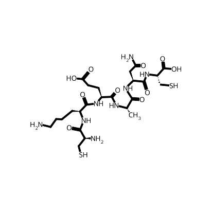 C[C@H](NC(=O)[C@H](CCC(=O)O)NC(=O)[C@H](CCCCN)NC(=O)[C@@H](N)CS)C(=O)N[C@@H](CC(N)=O)C(=O)N[C@@H](CS)C(=O)O